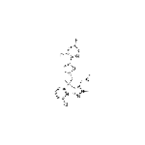 COCc1c(C(C)(CN2CC=C(c3ncc(F)cc3F)O2)c2cccc(Cl)n2)cnn1C